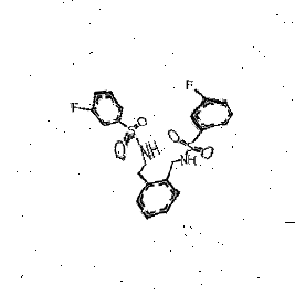 O=S(=O)(NCc1ccccc1CNS(=O)(=O)c1cccc(F)c1)c1cccc(F)c1